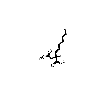 CCCCCC=CC(C)(CC(=O)O)C(=O)O